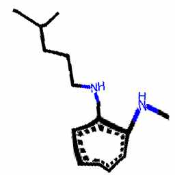 CNc1ccccc1NCCCC(C)C